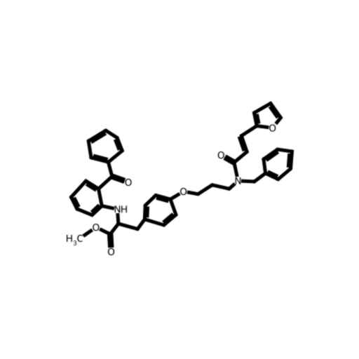 COC(=O)C(Cc1ccc(OCCCN(Cc2ccccc2)C(=O)C=Cc2ccco2)cc1)Nc1ccccc1C(=O)c1ccccc1